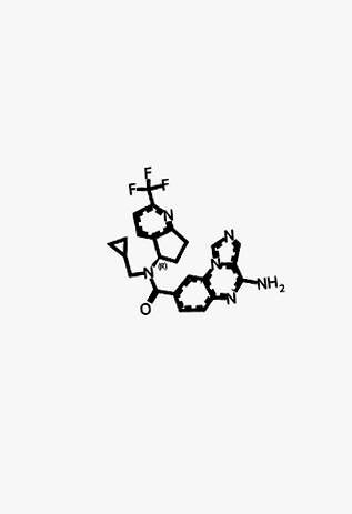 Nc1nc2ccc(C(=O)N(CC3CC3)[C@@H]3CCc4nc(C(F)(F)F)ccc43)cc2n2cncc12